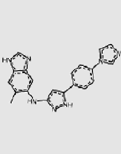 Cc1cc2[nH]cnc2cc1Nc1cc(-c2ccc(-n3ccnc3)cc2)[nH]n1